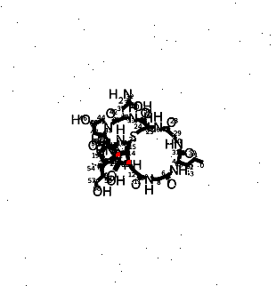 CC[C@H](C)[C@@H]1NC(=O)CNC(=O)C2Cc3c([nH]c4ccccc34)SC[C@H](NC(=O)CNC1=O)C(=O)N[C@@H](CC(N)O)C(=O)N1C[C@H](O)C[C@H]1C(=O)N[C@@H]([C@@H](C)[C@@H](O)CO)C(=O)N2